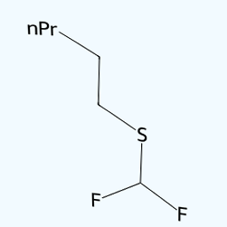 CCCCCSC(F)F